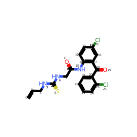 C=CCNC(=S)NCC(=O)Nc1ccc(Cl)cc1C(=O)c1ccccc1Cl